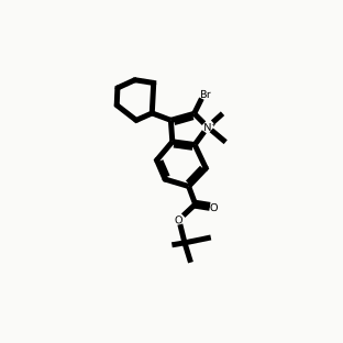 CC(C)(C)OC(=O)c1ccc2c(c1)[N+](C)(C)C(Br)=C2C1CCCCC1